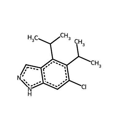 CC(C)c1c(Cl)cc2[nH]ncc2c1C(C)C